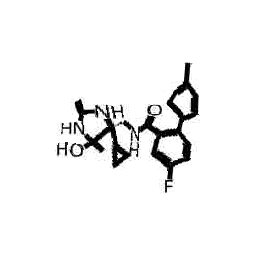 C=C1NC(C)(O)[C@](CNC(=O)c2cc(F)ccc2-c2ccc(C)cc2)(C2CC2)N1